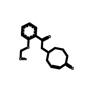 COCOc1ccccc1C(=O)CC1C/C=C\C(=O)CCC1